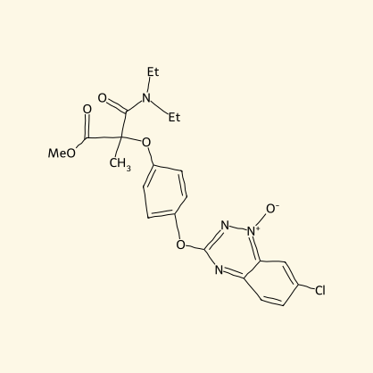 CCN(CC)C(=O)C(C)(Oc1ccc(Oc2nc3ccc(Cl)cc3[n+]([O-])n2)cc1)C(=O)OC